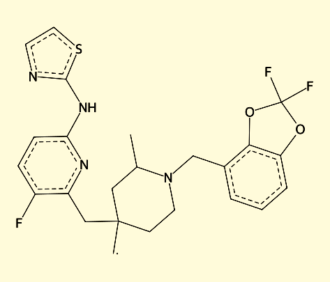 [CH2]C1(Cc2nc(Nc3nccs3)ccc2F)CCN(Cc2cccc3c2OC(F)(F)O3)C(C)C1